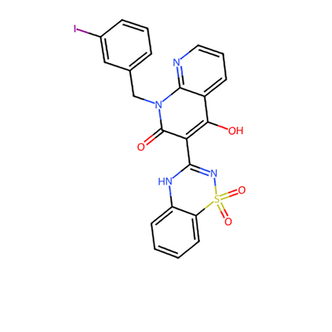 O=c1c(C2=NS(=O)(=O)c3ccccc3N2)c(O)c2cccnc2n1Cc1cccc(I)c1